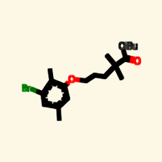 Cc1cc(Br)c(C)c(OCCCC(C)(C)C(=O)OCC(C)C)c1